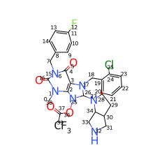 Cn1c2c(c(=O)n(Cc3ccc(F)cc3)c1=O)N(Cc1ccccc1Cl)C(N1CCC3CNCC31)N2OC(=O)C(F)(F)F